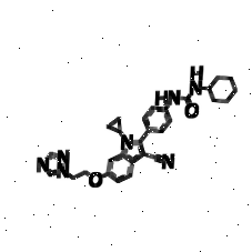 N#Cc1c(-c2ccc(NC(=O)NC3CCCCC3)cc2)n(C2CC2)c2cc(OCCn3cncn3)ccc12